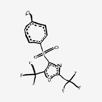 O=S(=O)(c1ccc(Cl)cc1)c1nc(C(F)(F)F)oc1C(F)(F)F